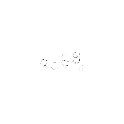 CCOc1cc(-c2ccc(N3CCC(Cc4ccccn4)CC3)nc2)c2c(C#N)cnn2c1